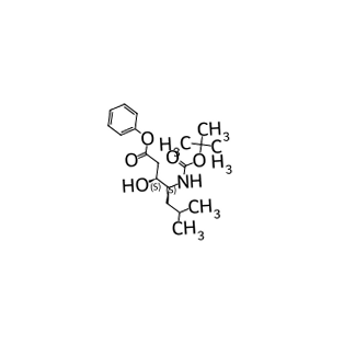 CC(C)C[C@H](NC(=O)OC(C)(C)C)[C@@H](O)CC(=O)Oc1ccccc1